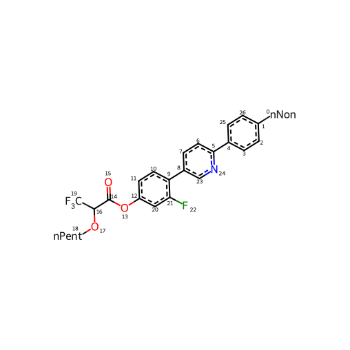 CCCCCCCCCc1ccc(-c2ccc(-c3ccc(OC(=O)C(OCCCCC)C(F)(F)F)cc3F)cn2)cc1